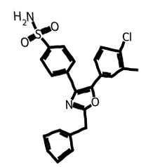 Cc1cc(-c2oc(Cc3ccccc3)nc2-c2ccc(S(N)(=O)=O)cc2)ccc1Cl